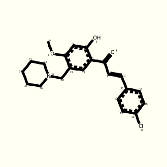 COc1cc(O)c(C(=O)/C=C/c2ccc(Cl)cc2)cc1CN1CCCCC1